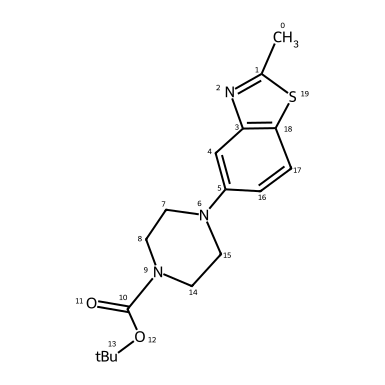 Cc1nc2cc(N3CCN(C(=O)OC(C)(C)C)CC3)ccc2s1